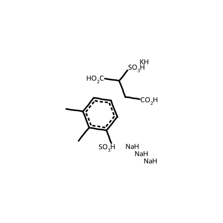 Cc1cccc(S(=O)(=O)O)c1C.O=C(O)CC(C(=O)O)S(=O)(=O)O.[KH].[NaH].[NaH].[NaH]